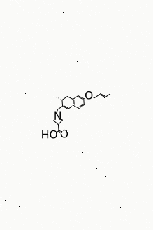 C/C=C/COc1ccc2c(c1)C[C@@H](C)C(CN1CC(C(=O)O)C1)=C2